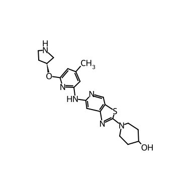 Cc1cc(Nc2cc3nc(N4CCC(O)CC4)sc3cn2)nc(O[C@H]2CCNC2)c1